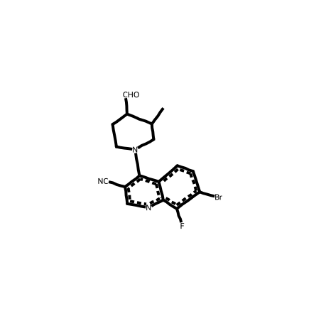 CC1CN(c2c(C#N)cnc3c(F)c(Br)ccc23)CCC1C=O